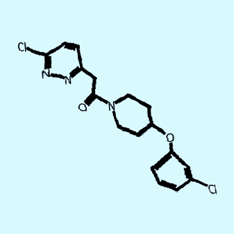 O=C(Cc1ccc(Cl)nn1)N1CCC(Oc2cccc(Cl)c2)CC1